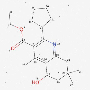 CCOC(=O)c1c(C2CCCC2)nc2c(c1C)C(O)CC(C)(C)C2